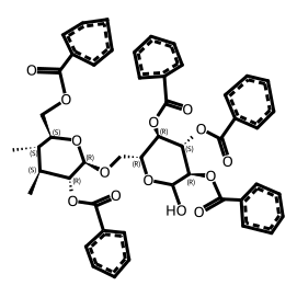 C[C@H]1[C@H](C)[C@@H](COC(=O)c2ccccc2)O[C@@H](OC[C@H]2OC(O)[C@H](OC(=O)c3ccccc3)[C@@H](OC(=O)c3ccccc3)[C@@H]2OC(=O)c2ccccc2)[C@@H]1OC(=O)c1ccccc1